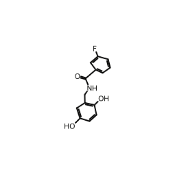 O=C(NCc1cc(O)ccc1O)c1cccc(F)c1